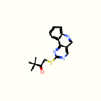 CC(C)(C)C(=O)CSc1ncc2cnc3ccccc3c2n1